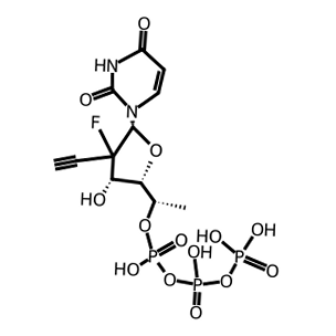 C#CC1(F)[C@@H](O)[C@@H]([C@H](C)OP(=O)(O)OP(=O)(O)OP(=O)(O)O)O[C@H]1n1ccc(=O)[nH]c1=O